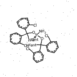 CCCCCC(OP(N)(=O)OC(CCCCC)(c1ccccc1Cl)c1ccccc1Cl)(c1ccccc1Cl)c1ccccc1Cl